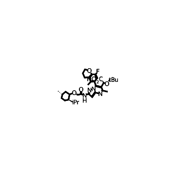 Cc1nc2cc(NC(=O)COC3C[C@@H](C)CC[C@@H]3C(C)C)nn2c(-c2cc(F)c3c(c2C)CCCO3)c1[C@H](OC(C)(C)C)C(=O)O